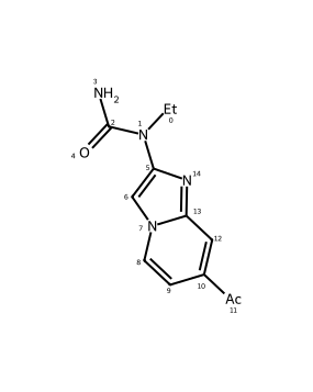 CCN(C(N)=O)c1cn2ccc(C(C)=O)cc2n1